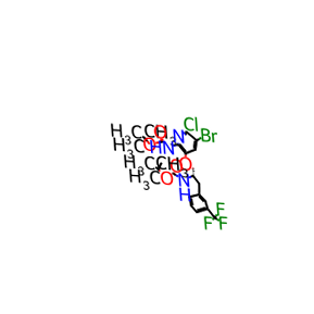 CC(C)(C)OC(=O)Nc1nc(Cl)c(Br)cc1OC[C@H](Cc1cccc(C(F)(F)F)c1)NC(=O)OC(C)(C)C